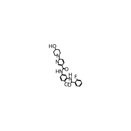 O=C(Nc1ccc(Cl)c(NC(=O)c2ccccc2F)c1)c1ccc(N2CCC(O)CC2)nc1